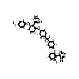 COc1ccc(Oc2cccc(Oc3ccc(C(C)(C)c4ccc(Oc5cccc(C)c5-c5nnn[nH]5)cc4)cc3)c2-c2nnn[nH]2)cc1